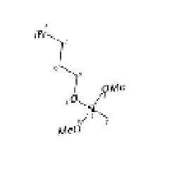 CO[Si](C)(OC)OCCCC(C)C